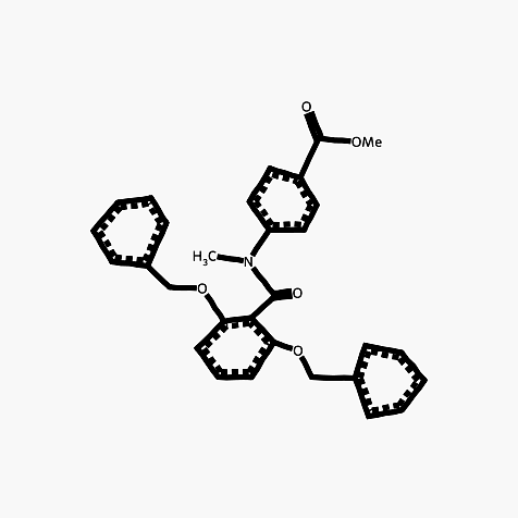 COC(=O)c1ccc(N(C)C(=O)c2c(OCc3ccccc3)cccc2OCc2ccccc2)cc1